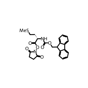 CSCC[C@H](NC(=O)OCC1c2ccccc2-c2ccccc21)C(=O)ON1C(=O)CCC1=O